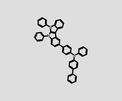 c1ccc(-c2ccc(N(c3ccccc3)c3ccc(-c4ccc5c(c4)c4c6ccccc6n(-c6ccccc6)c4n5-c4ccccc4)cc3)cc2)cc1